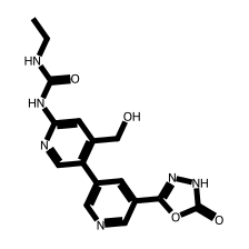 CCNC(=O)Nc1cc(CO)c(-c2cncc(-c3n[nH]c(=O)o3)c2)cn1